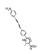 CC(NC(=O)c1ccc(C#CC#Cc2ccc(N)cc2)cc1)C(=O)NO